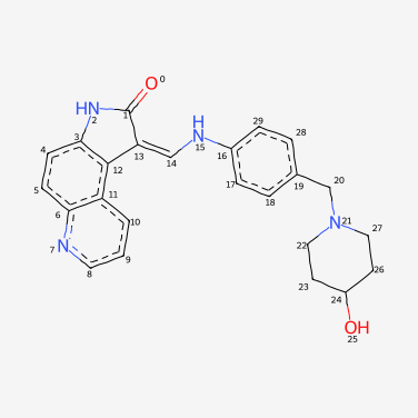 O=C1Nc2ccc3ncccc3c2C1=CNc1ccc(CN2CCC(O)CC2)cc1